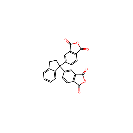 O=C1OC(=O)c2cc(C3(c4ccc5c(c4)C(=O)OC5=O)CCc4ccccc43)ccc21